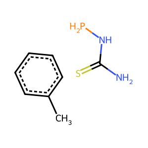 Cc1ccccc1.NC(=S)NP